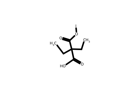 CCC(CC)(C(=O)O)C(=O)OI